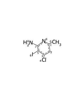 Cc1cc(Cl)c(I)c(N)n1